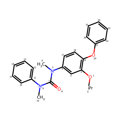 CC(C)Oc1cc(N(C)C(=O)N(C)c2ccccc2)ccc1Oc1ccccc1